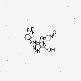 CC(=O)N1CCP(=O)(c2cc3c(N[C@H](C)c4cccc(C(F)(F)F)c4C)nc(C)nc3c(CO)n2)CC1